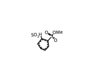 COS(=O)(=O)c1ccccc1S(=O)(=O)O